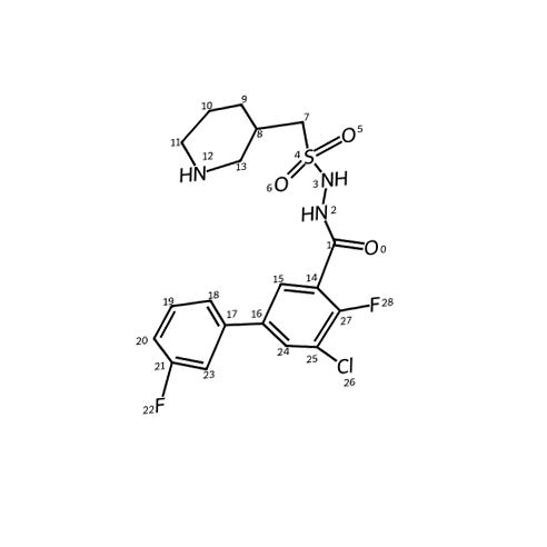 O=C(NNS(=O)(=O)CC1CCCNC1)c1cc(-c2cccc(F)c2)cc(Cl)c1F